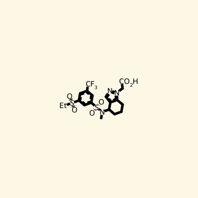 CCS(=O)(=O)c1cc(C(F)(F)F)cc(S(=O)(=O)N(C)C2CCCc3c2cnn3CC(=O)O)c1